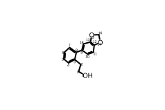 OCCc1ccccc1-c1ccc2c(c1)OCO2